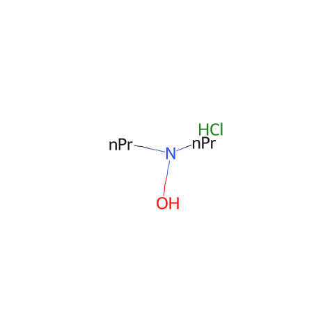 CCCN(O)CCC.Cl